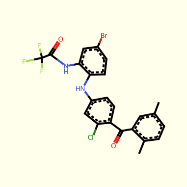 Cc1ccc(C)c(C(=O)c2ccc(Nc3ccc(Br)cc3NC(=O)C(F)(F)F)cc2Cl)c1